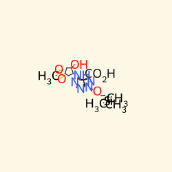 C[Si](C)(C)CCOCn1nc(C(=O)O)c2c(NC3CC(S(C)(=O)=O)C[C@H]3O)ncnc21